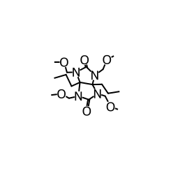 CCCC12N(COC)C(=O)N(COC)C1(CCC)N(COC)C(=O)N2COC